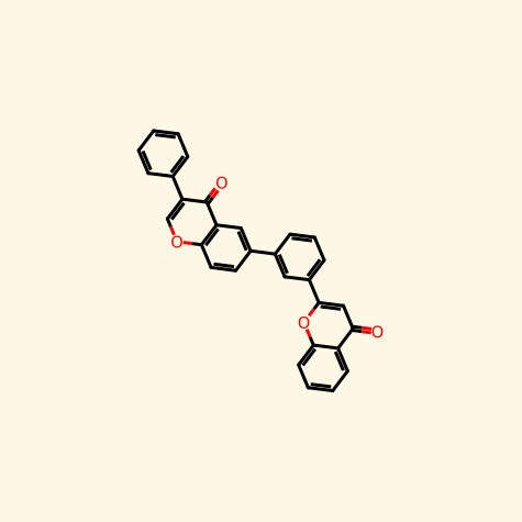 O=c1cc(-c2cccc(-c3ccc4occ(-c5ccccc5)c(=O)c4c3)c2)oc2ccccc12